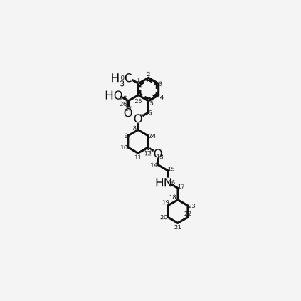 Cc1cccc(COC2CCC[C@H](OCCNCC3CCCCC3)C2)c1C(=O)O